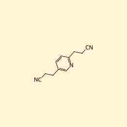 N#CCCc1ccc(CCC#N)nc1